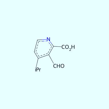 CC(C)c1ccnc(C(=O)O)c1C=O